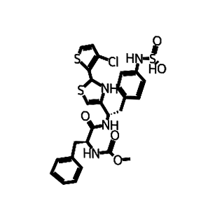 COC(=O)N[C@@H](Cc1ccccc1)C(=O)N[C@@H](Cc1ccc(N[SH](=O)=O)cc1)C1=CSC(c2sccc2Cl)N1